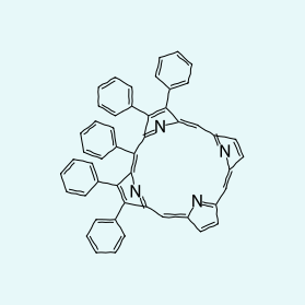 C1=CC2=NC1=CC1=NC(=C(c3ccccc3)C3=NC(=CC4=NC(=C2)C=C4)C(c2ccccc2)=C3c2ccccc2)C(c2ccccc2)=C1c1ccccc1